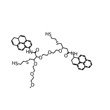 COCCOCCOC(CSCCS)C(OCCOCCOC(CSCCS)CC(=O)NC1CC=c2ccc3cccc4ccc1c2c43)C(=O)Nc1ccc2c3c4c(ccc13)C=CCC4C=C2